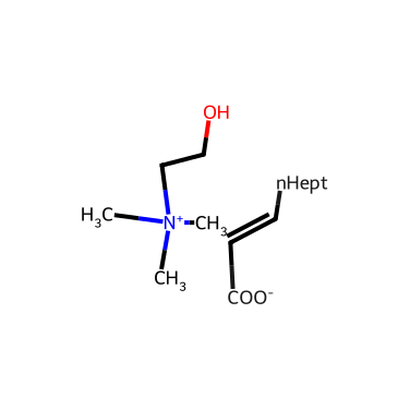 CCCCCCCC=CC(=O)[O-].C[N+](C)(C)CCO